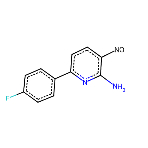 Nc1nc(-c2ccc(F)cc2)ccc1N=O